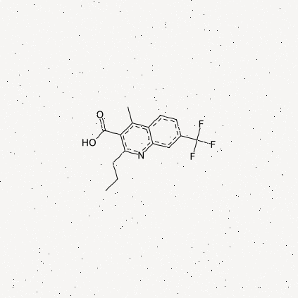 CCCc1nc2cc(C(F)(F)F)ccc2c(C)c1C(=O)O